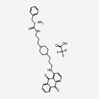 N[C@@H](Cc1ccccc1)C(=O)NCCCN1CCN(CCCNc2cccc3c2C(=O)c2ccccc2C3=O)CC1.O=C(O)C(F)(F)F